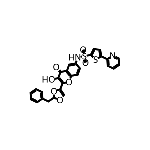 O=c1c(O)c(C2=COC(Cc3ccccc3)O2)oc2ccc(NS(=O)(=O)c3ccc(-c4ccccn4)s3)cc12